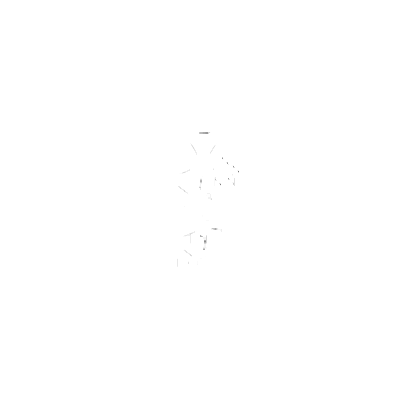 Cc1cc2c(c(Br)c1SCc1ccccc1)C1(NN=NN1CCOC(=O)N[C@@H](C)C(=O)O)c1ccccc1-2